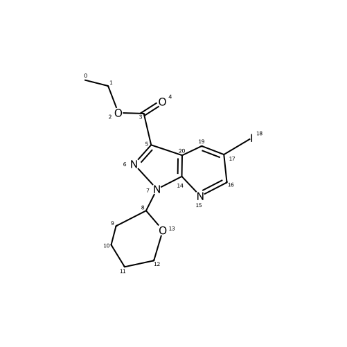 CCOC(=O)c1nn(C2CCCCO2)c2ncc(I)cc12